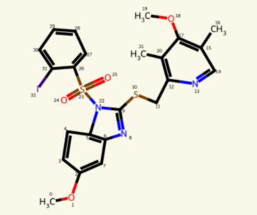 COc1ccc2c(c1)nc(SCc1ncc(C)c(OC)c1C)n2S(=O)(=O)c1ccccc1I